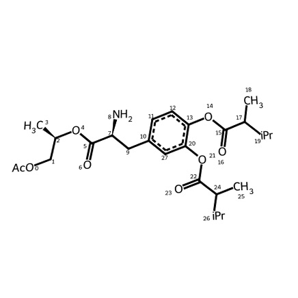 CC(=O)OC[C@@H](C)OC(=O)[C@@H](N)Cc1ccc(OC(=O)C(C)C(C)C)c(OC(=O)C(C)C(C)C)c1